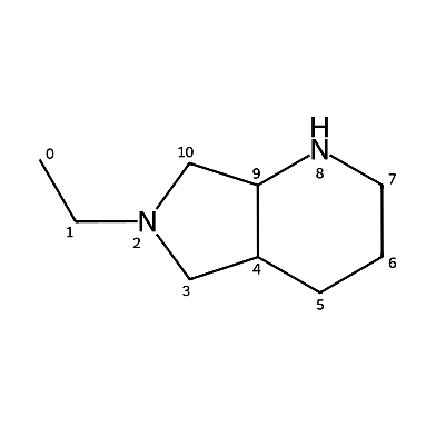 CCN1CC2CCCNC2C1